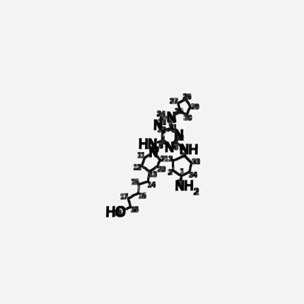 N[C@H]1CC[C@H](Nc2nc(NN3CCC(CCCCCO)CC3)c3ncn(C4CCCC4)c3n2)CC1